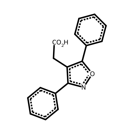 O=C(O)Cc1c(-c2ccccc2)noc1-c1ccccc1